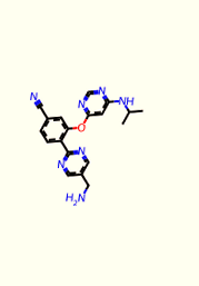 CC(C)Nc1cc(Oc2cc(C#N)ccc2-c2ncc(CN)cn2)ncn1